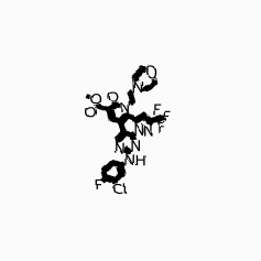 COC(=O)c1cc2c3cnc(Nc4ccc(F)c(Cl)c4)nc3n3nc(C(F)(F)F)cc3c2n(CCN2CCOCC2)c1=O